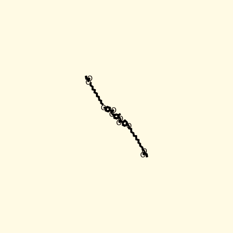 C=CC(=O)OCCCCCCCCCCCCCOc1ccc(C(=O)Oc2ccc(OC(=O)c3ccc(OCCCCCCCCCCCCCOC(=O)C=C)cc3)c(C)c2)cc1